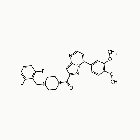 COc1ccc(-c2ccnc3cc(C(=O)N4CCN(Cc5c(F)cccc5F)CC4)nn23)cc1OC